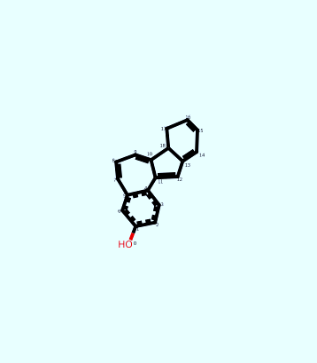 Oc1ccc2c(c1)C=CC=C1C2=CC2=CC=CCC21